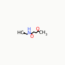 C#CCNC(=O)CCC(C)=O